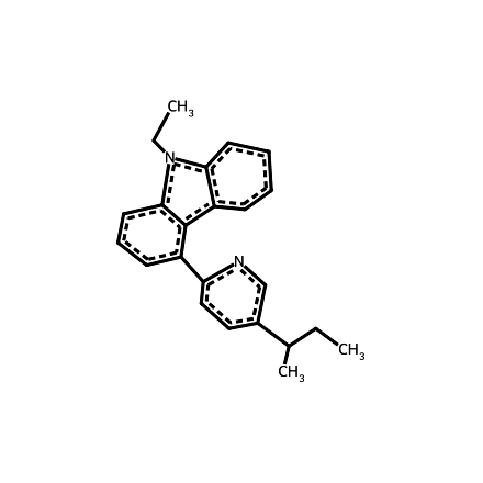 CCC(C)c1ccc(-c2cccc3c2c2ccccc2n3CC)nc1